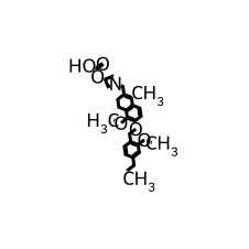 CCCc1ccc(COc2ccc3c(c2OC)CCC(CN2CC(OC(=O)O)C2)=C3C)c(OC)c1